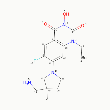 CCC(C)Cn1c(=O)n(O)c(=O)c2cc(F)c(N3CCC(C)(CN)C3)cc21